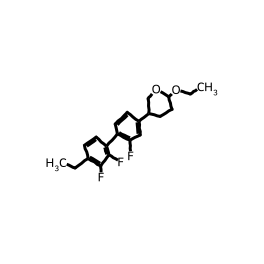 CCOC1CCC(c2ccc(-c3ccc(CC)c(F)c3F)c(F)c2)CO1